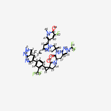 Cn1cc2cc(-c3ccc(C4CC45CCN([C@H](Cc4cnn(C(F)F)c4)C(=O)NC(C)(C)Cn4nc(C(F)(F)F)cc4-c4cc(F)c(=O)n(C)c4)C5=O)c(C(F)F)c3)cnc2n1